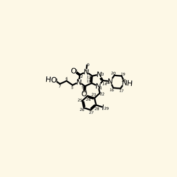 Cn1c(=O)n(CCCO)c(=O)c2c1nc(N1CCNCC1)n2Cc1ccccc1I